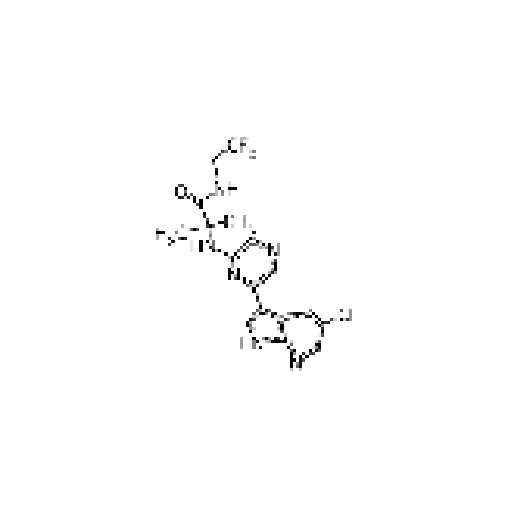 CC(C)(Nc1cncc(-c2c[nH]c3ncc(Cl)cc23)n1)C(=O)NCC(F)(F)F